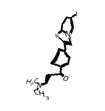 CN(C)C=CC(=O)c1ccc(-c2cn3cc(I)ccc3n2)cc1